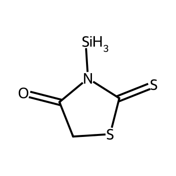 O=C1CSC(=S)N1[SiH3]